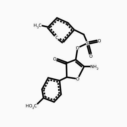 Cc1ccc(CS(=O)(=O)OC2=C(N)OC(c3ccc(C(=O)O)cc3)C2=O)cc1